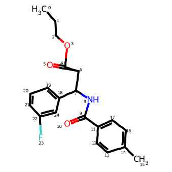 CCCOC(=O)CC(NC(=O)c1ccc(C)cc1)c1cccc(F)c1